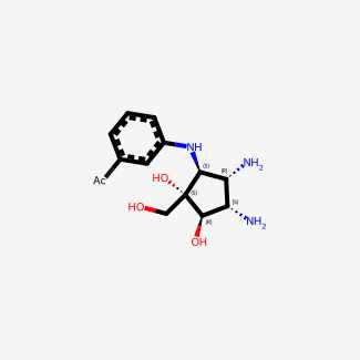 CC(=O)c1cccc(N[C@H]2[C@H](N)[C@H](N)[C@@H](O)[C@@]2(O)CO)c1